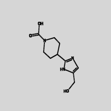 O=C(O)N1CCC(c2ncc(CO)[nH]2)CC1